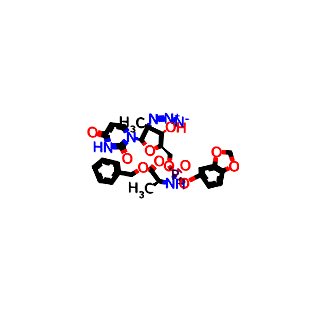 C[C@H](NP(=O)(OC[C@H]1O[C@@H](n2ccc(=O)[nH]c2=O)[C@](C)(N=[N+]=[N-])[C@@H]1O)Oc1ccc2c(c1)OCO2)C(=O)OCc1ccccc1